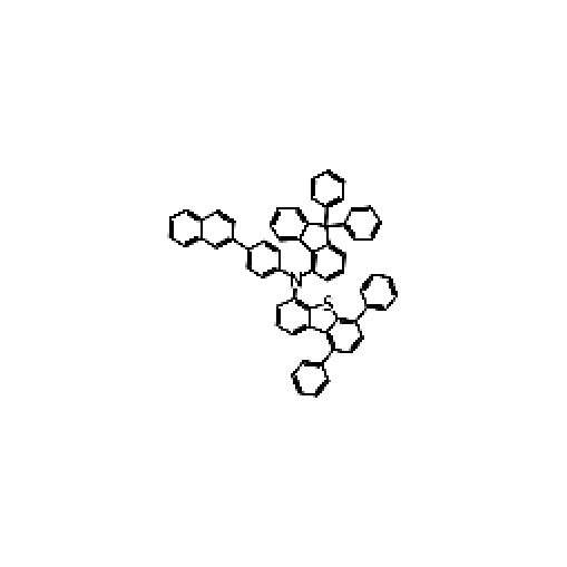 c1ccc(-c2ccc(-c3ccccc3)c3c2sc2c(N(c4ccc(-c5ccc6ccccc6c5)cc4)c4cccc5c4-c4ccccc4C5(c4ccccc4)c4ccccc4)cccc23)cc1